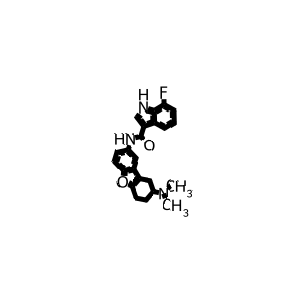 CN(C)C1CCc2oc3ccc(NC(=O)c4c[nH]c5c(F)cccc45)cc3c2C1